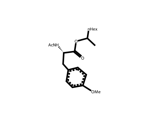 CCCCCCC(C)OC(=O)[C@H](Cc1ccc(OC)cc1)NC(C)=O